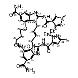 CCc1nn(C)cc1C(=O)Nc1nc2cc(C(N)=O)cc(OCCCO)c2n1C/C=C/Cn1c(NC(=O)c2cc(C)nn2CC)nc2cc(C(N)=O)cc(OC)c21